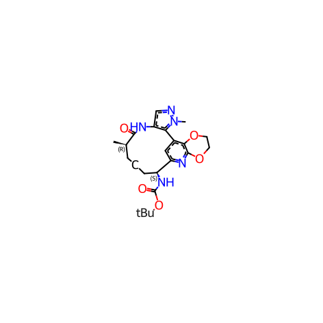 C[C@@H]1CCC[C@H](NC(=O)OC(C)(C)C)c2cc(c3c(n2)OCCO3)-c2c(cnn2C)NC1=O